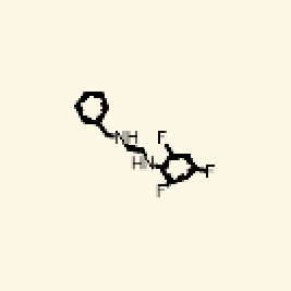 Fc1cc(F)c(N/C=C/NCc2ccccc2)c(F)c1